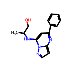 CC(CO)Nc1cc(-c2ccccc2)nc2ccnn12